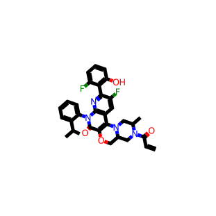 C=CC(=O)N1CC2COc3c(c4cc(F)c(-c5c(O)cccc5F)nc4n(-c4ccccc4C(C)C)c3=O)N2CC1C